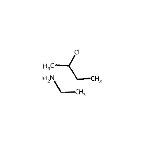 CCC(C)Cl.CCN